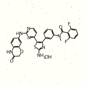 CN(C(=O)c1c(F)cccc1F)c1cccc(-c2nc(N)sc2-c2ccnc(Nc3ccc4c(c3)OCC(=O)N4)n2)c1.Cl